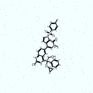 Cc1ccc(S(=O)(=O)n2ccc3c(-c4ccc5nc(Cl)nc([C@@](CO)(OC6CC6)c6ccccc6)c5c4)cn(C)c(=O)c32)cc1